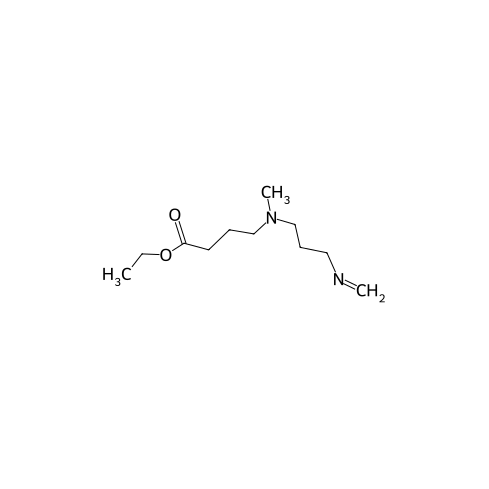 C=NCCCN(C)CCCC(=O)OCC